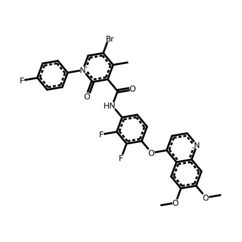 COc1cc2nccc(Oc3ccc(NC(=O)c4c(C)c(Br)cn(-c5ccc(F)cc5)c4=O)c(F)c3F)c2cc1OC